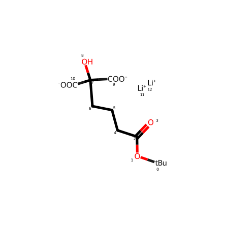 CC(C)(C)OC(=O)CCCC(O)(C(=O)[O-])C(=O)[O-].[Li+].[Li+]